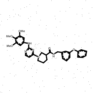 COc1cc(Nc2nccc(N3CCCC(C(=O)NCc4cccc(Oc5ccccc5)c4)C3)n2)cc(OC)c1OC